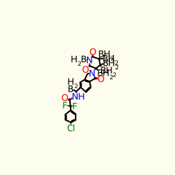 BC(NC(=O)C(F)(F)c1ccc(Cl)cc1)c1ccc2c(c1)CN(C1(B)C(=O)N(B)C(=O)C(B)(B)C1(B)B)C2=O